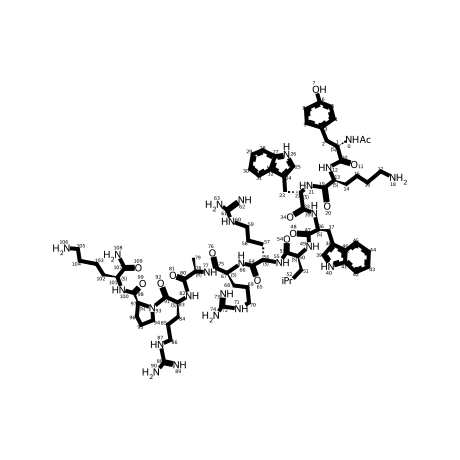 CC(=O)N[C@@H](Cc1ccc(O)cc1)C(=O)N[C@@H](CCCCN)C(=O)N[C@@H](Cc1c[nH]c2ccccc12)C(=O)N[C@@H](Cc1c[nH]c2ccccc12)C(=O)N[C@@H](CC(C)C)C(=O)N[C@@H](CCCNC(=N)N)C(=O)N[C@@H](CCCNC(=N)N)C(=O)N[C@H](C)C(=O)N[C@@H](CCCNC(=N)N)C(=O)N1CCC[C@H]1C(=O)N[C@@H](CCCCN)C(N)=O